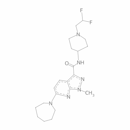 Cn1nc(C(=O)NC2CCN(CC(F)F)CC2)c2ccc(N3CCCCCC3)nc21